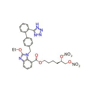 CCOc1nc2cccc(C(=O)OCCCC[C@H](CO[N+](=O)[O-])O[N+](=O)[O-])c2n1Cc1ccc(-c2ccccc2-c2nnn[nH]2)cc1